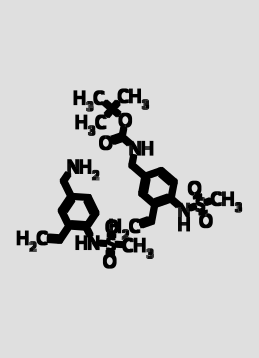 C=Cc1cc(CN)ccc1NS(C)(=O)=O.C=Cc1cc(CNC(=O)OC(C)(C)C)ccc1NS(C)(=O)=O